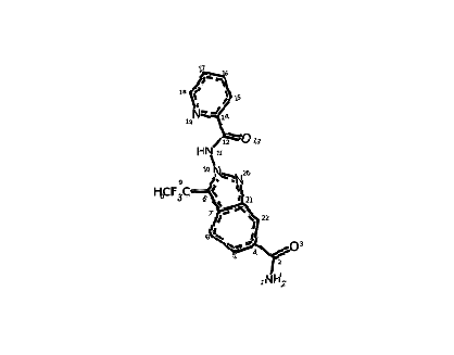 Cl.NC(=O)c1ccc2c(C(F)(F)F)n(NC(=O)c3ccccn3)nc2c1